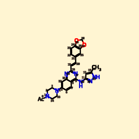 CC(=O)N1CCN(c2ccc3c(Nc4cc(C)[nH]n4)nc(/C=C/c4ccc5c(c4)OCO5)nc3c2)CC1